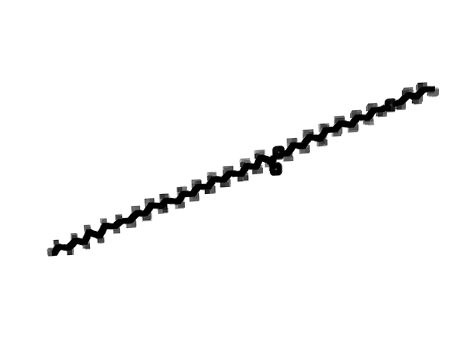 CCCCCCCCCCCCCCCCCCCCCCCCCCCCC(=O)OCCCCCCCCCCCCCCCCCCC